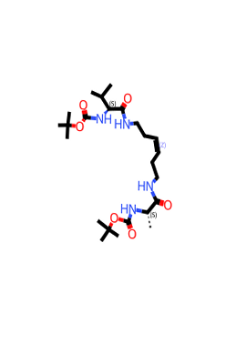 CC(C)[C@H](NC(=O)OC(C)(C)C)C(=O)NCC/C=C\CCNC(=O)[C@H](C)NC(=O)OC(C)(C)C